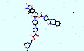 Cc1cc(C[C@@H](OC(=O)N2CCC(N3CCc4ccccc4NC3=O)CC2)C(=O)N2CCC(N3CCN(C(=O)C(=O)OCCN4CCOCC4)CC3)CC2)cc2oc(=O)n(C)c12